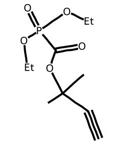 C#CC(C)(C)OC(=O)P(=O)(OCC)OCC